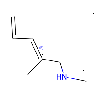 C=C/C=C(\C)CNC